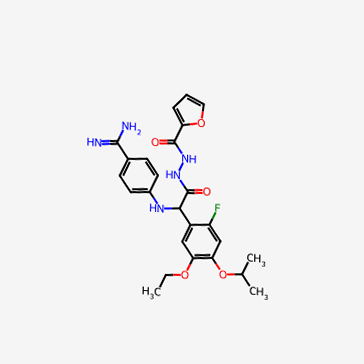 CCOc1cc(C(Nc2ccc(C(=N)N)cc2)C(=O)NNC(=O)c2ccco2)c(F)cc1OC(C)C